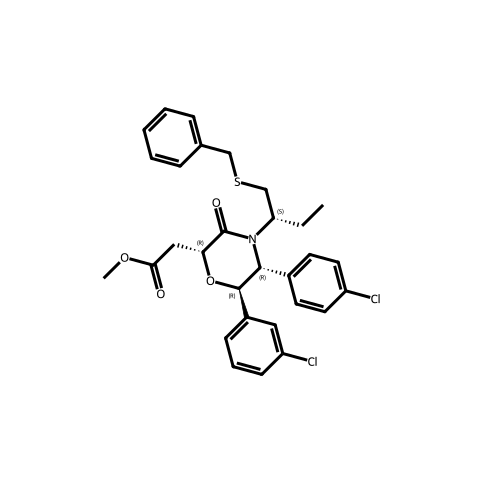 CC[C@@H](CSCc1ccccc1)N1C(=O)[C@@H](CC(=O)OC)O[C@H](c2cccc(Cl)c2)[C@H]1c1ccc(Cl)cc1